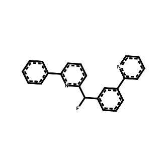 FC(c1cccc(-c2ccccn2)c1)c1cccc(-c2ccccc2)n1